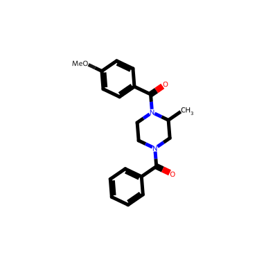 COc1ccc(C(=O)N2CCN(C(=O)c3ccccc3)CC2C)cc1